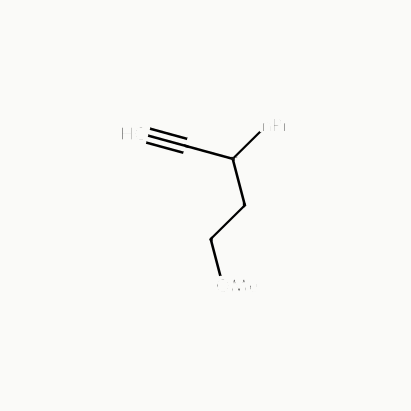 C#C[C](CCC)CCOC